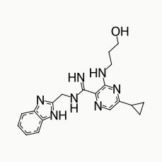 N=C(NCc1nc2ccccc2[nH]1)c1ncc(C2CC2)nc1NCCCO